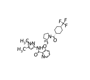 Cc1cc(NC(=O)c2ncccc2OC[C@H]2CCCN2C(=O)[C@H]2CC[C@H](C(F)(F)F)CC2)nn1C